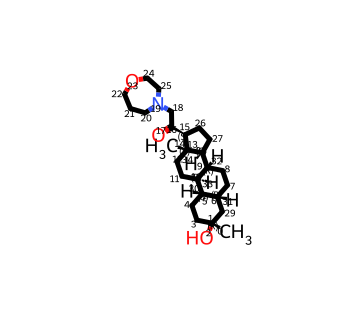 C[C@@]1(O)CC[C@H]2[C@H](CC[C@@H]3[C@@H]2CC[C@]2(C)[C@@H](C(=O)CN4CCCOCC4)CC[C@@H]32)C1